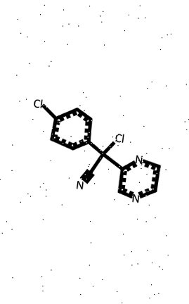 N#CC(Cl)(c1ccc(Cl)cc1)c1cnccn1